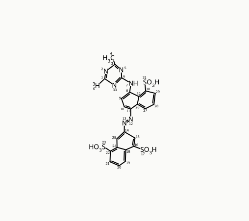 [3H]c1nc(C)nc(Nc2ccc(N=Nc3cc(S(=O)(=O)O)c4cccc(S(=O)(=O)O)c4c3)c3cccc(S(=O)(=O)O)c23)n1